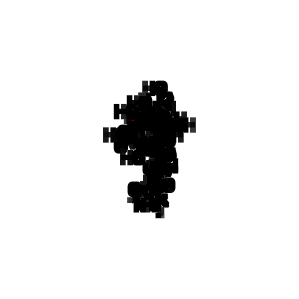 CC(C)C[C@H](NC(=O)[C@H](C)NC(=O)[C@H](C)N)C(=O)N[C@@H](CC(C)C)C(=O)N[C@@H](CO)C(=O)N1CCC[C@H]1C(=O)N[C@@H](Cc1ccc(O)cc1)C(=O)N[C@@H](CO)C(=O)N[C@@H](Cc1ccc(O)cc1)C(=O)N[C@@H](CO)C(=O)N[C@H](C(=O)N[C@H](C(=O)N[C@@H](C)C(=O)O)[C@@H](C)O)[C@@H](C)O